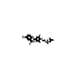 Cc1cc(-c2nc3ccc(Br)cc3c(=O)[nH]2)cc(C)c1OCCO[Si](C)(C)CC(C)C